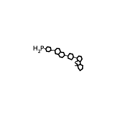 Pc1ccc(-c2ccc3cc(-c4ccc(-c5cccc6c5sc5ccccc56)cc4)ccc3c2)cc1